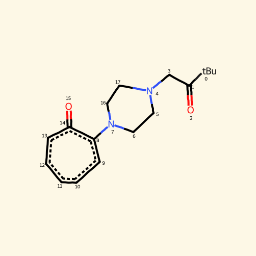 CC(C)(C)C(=O)CN1CCN(c2cccccc2=O)CC1